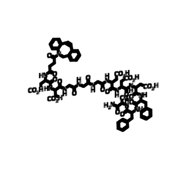 CC(NC(=O)C(Cc1ccccc1)NC(=O)C(Cc1ccccc1)NC(=O)C(CC(=O)O)NC(=O)C(CC(=O)O)NC(=O)C(CC(=O)O)NC(=O)CNC(=O)CNC(=O)CNC(=O)C(CC(=O)O)NC(=O)C(CC(=O)O)NC(=O)CCC(=O)N1Cc2ccccc2C#Cc2ccccc21)C(N)=O